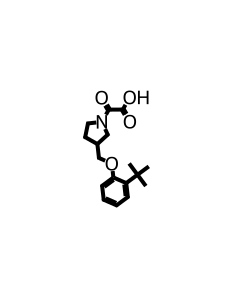 CC(C)(C)c1ccccc1OCC1CCN(C(=O)C(=O)O)C1